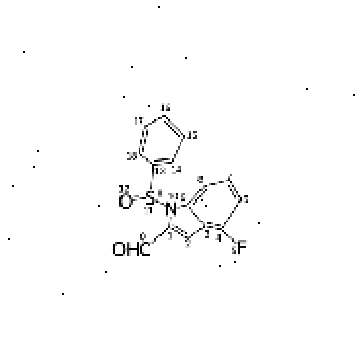 O=Cc1cc2c(F)cccc2n1[S+]([O-])c1ccccc1